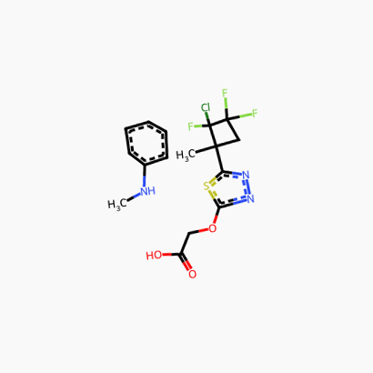 CC1(c2nnc(OCC(=O)O)s2)CC(F)(F)C1(F)Cl.CNc1ccccc1